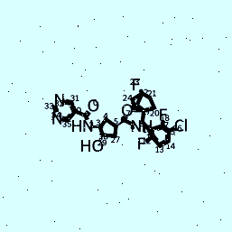 O=C(N[C@H]1C[C@@H](C(=O)NC(c2c(F)ccc(Cl)c2F)C23CCC(F)(CC2)C3)C[C@H]1O)c1cncnc1